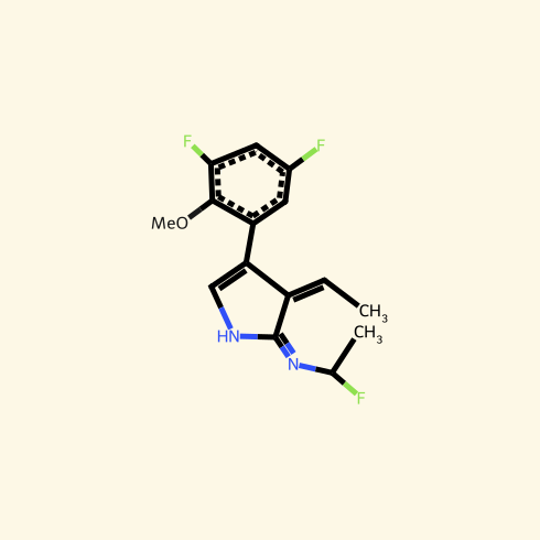 C/C=C1/C(c2cc(F)cc(F)c2OC)=CN/C1=N/C(C)F